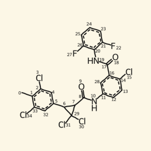 Cc1c(Cl)cc(C2C(C(=O)Nc3ccc(Cl)c(C(=O)Nc4c(F)cccc4F)c3)C2(Cl)Cl)cc1Cl